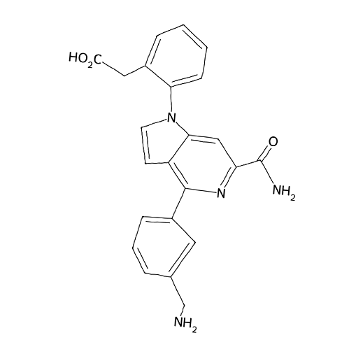 NCc1cccc(-c2nc(C(N)=O)cc3c2ccn3-c2ccccc2CC(=O)O)c1